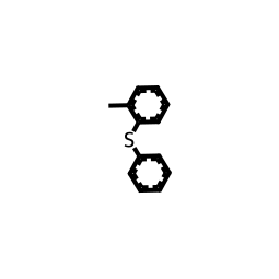 Cc1ccccc1Sc1ccccc1